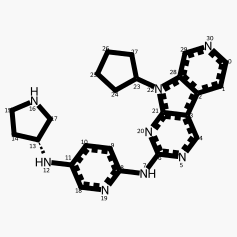 c1cc2c3cnc(Nc4ccc(N[C@@H]5CCNC5)cn4)nc3n(C3CCCC3)c2cn1